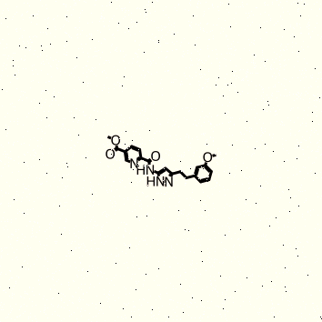 COC(=O)c1ccc(C(=O)Nc2cc(CCc3cccc(OC)c3)n[nH]2)nc1